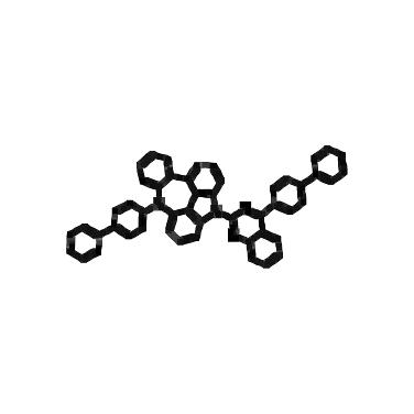 c1ccc(-c2ccc(-c3nc(-n4c5cccc6c7ccccc7n(-c7ccc(-c8ccccc8)cc7)c7cccc4c7c65)nc4ccccc34)cc2)cc1